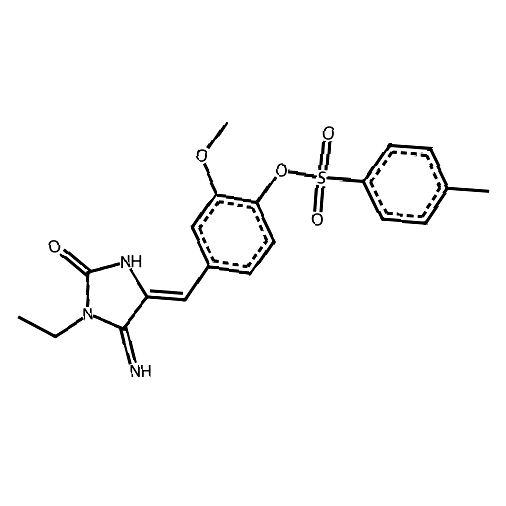 CCN1C(=N)C(=Cc2ccc(OS(=O)(=O)c3ccc(C)cc3)c(OC)c2)NC1=O